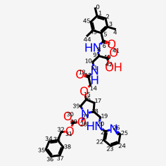 Cc1cc(C)c(C(=O)NC(CNC(=O)COC2CC(CNc3ccccn3)N(OC(=O)OCc3ccccc3)C2)C(=O)O)c(C)c1